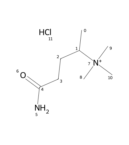 CC(CCC(N)=O)[N+](C)(C)C.Cl